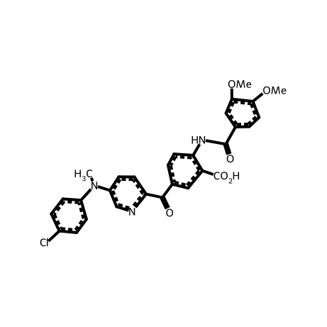 COc1ccc(C(=O)Nc2ccc(C(=O)c3ccc(N(C)c4ccc(Cl)cc4)cn3)cc2C(=O)O)cc1OC